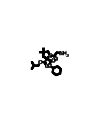 CC(C)COC(=O)[C@@]1(C(=O)OC2CCCCC2)CC(C)(C)CN1C(=O)CN